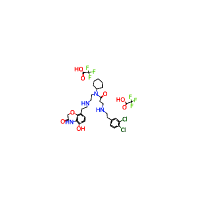 O=C(O)C(F)(F)F.O=C(O)C(F)(F)F.O=C1COc2c(CCNCCN(C(=O)CCNCCc3ccc(Cl)c(Cl)c3)C3CCCCC3)ccc(O)c2N1